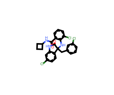 O=C(NC1CCC1)c1cccc(Cl)c1NC1(Cc2cccc(Cl)c2)C(=O)Nc2cc(Cl)ccc21